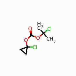 CC(C)(Cl)OC(=O)OC1(Cl)CC1